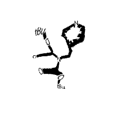 CC(C)(C)OC(=O)N(Cc1ccncc1)C(=O)OC(C)(C)C